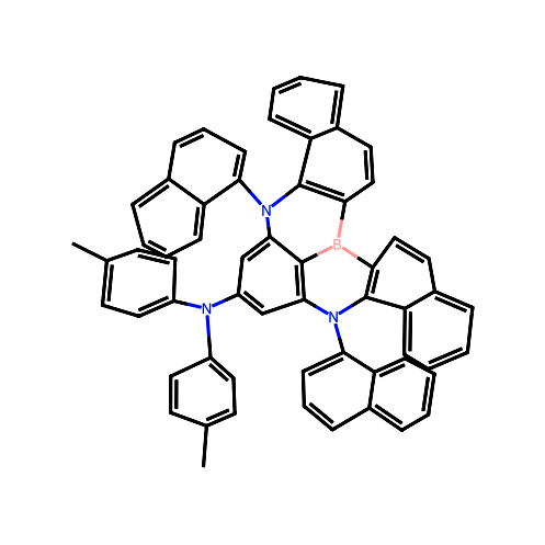 Cc1ccc(N(c2ccc(C)cc2)c2cc3c4c(c2)N(c2cccc5ccccc25)c2c(ccc5ccccc25)B4c2ccc4ccccc4c2N3c2cccc3ccccc23)cc1